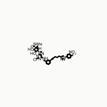 CNC(=O)[C@@]12C[C@@H]1[C@@H](n1cnc3c(NCc4cccc(C#CCCCc5cn(-c6ccc(F)c([N+](=O)[O-])c6)nn5)c4)nc(Cl)nc31)[C@H](O)[C@@H]2O